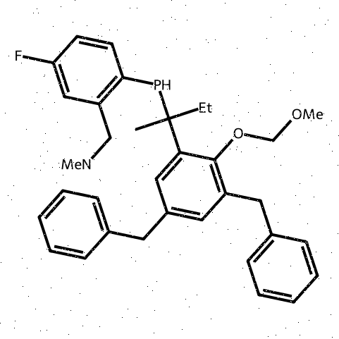 CCC(C)(Pc1ccc(F)cc1CNC)c1cc(Cc2ccccc2)cc(Cc2ccccc2)c1OCOC